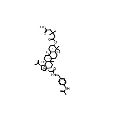 C=C(C)Nc1ccc(CNC(=O)C[C@]23CC[C@@H](C(=C)C)[C@@H]2[C@H]2CC[C@@H]4[C@@]5(C)CC[C@H](OC(=O)CC(C)(C)CC(=O)O)C(C)(C)[C@@H]5CC[C@@]4(C)[C@]2(C)CC3)cc1